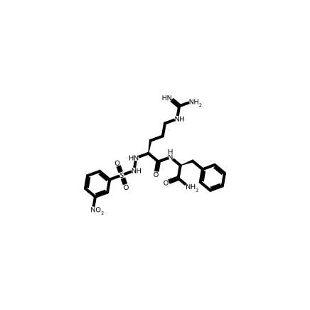 N=C(N)NCCC[C@H](NNS(=O)(=O)c1cccc([N+](=O)[O-])c1)C(=O)N[C@@H](Cc1ccccc1)C(N)=O